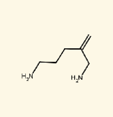 C=C(CN)CCCN